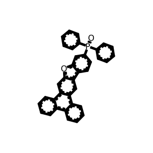 O=P(c1ccccc1)(c1ccccc1)c1ccc2c(c1)oc1cc3c4ccccc4c4ccccc4c3cc12